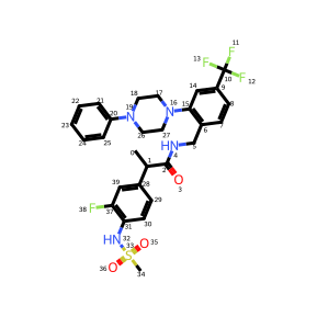 CC(C(=O)NCc1ccc(C(F)(F)F)cc1N1CCN(c2ccccc2)CC1)c1ccc(NS(C)(=O)=O)c(F)c1